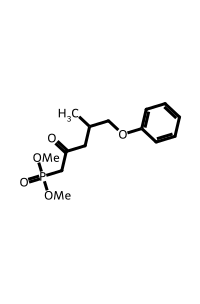 COP(=O)(CC(=O)CC(C)COc1ccccc1)OC